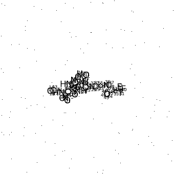 O=C(NS(=O)(=O)c1ccc(NCC2CCOCC2)c([N+](=O)[O-])c1)c1ccc(N2CCC3(CC2)CC(N2CCC[C@H]2c2ccccc2C24CC(C(F)(F)F)(C2)C4)C3)cc1N1c2cc3cc[nH]c3nc2O[C@@H]2COC[C@H]21